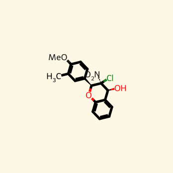 COc1ccc([C@@H]2Oc3ccccc3[C@H](O)[C@@]2(Cl)[N+](=O)[O-])cc1C